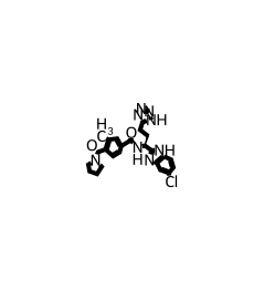 Cc1cc(C(=O)N[C@@H](CCc2nnn[nH]2)c2nc3cc(Cl)ccc3[nH]2)ccc1C(=O)N1CCCC1